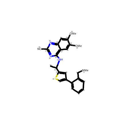 CNCc1ccccc1-c1csc(C(C)Nc2nc(C#N)nc3cc(OC)c(OC)cc23)c1